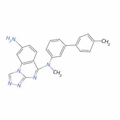 Cc1ccc(-c2cccc(N(C)c3nc4nncn4c4cc(N)ccc34)c2)cc1